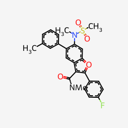 CNC(=O)c1c(-c2ccc(F)cc2)oc2cc(N(C)S(C)(=O)=O)c(-c3cccc(C)c3)cc12